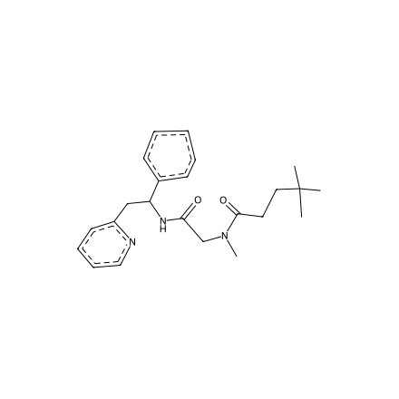 CN(CC(=O)NC(Cc1ccccn1)c1ccccc1)C(=O)CCC(C)(C)C